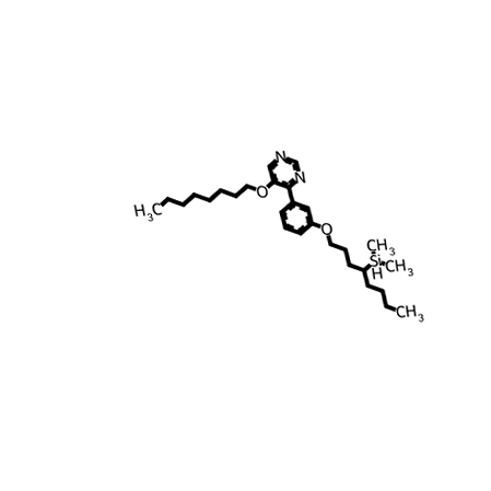 CCCCCCCCOc1cncnc1-c1cccc(OCCCC(CCCC)[SiH](C)C)c1